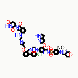 O=C1CCC(N2Cc3c(NCCN4CC(COc5cccc(-c6ccc(Cl)cc6)c5CN5CCN(c6ccc(C(=O)NS(=O)(=O)c7ccc(NCC8CCOCC8)c([N+](=O)[O-])c7)c(Oc7cnc8[nH]ccc8c7)c6)CC5)C4)cccc3C2=O)C(=O)N1